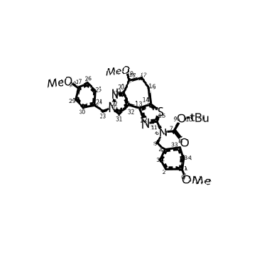 COc1ccc(CN(C(=O)OC(C)(C)C)c2nc3c(s2)CCC(OC)c2nn(Cc4ccc(OC)cc4)cc2-3)cc1